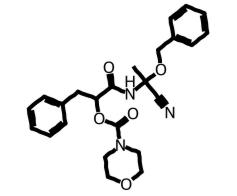 CC(C#N)(NC(=O)C(Cc1ccccc1)OC(=O)N1CCOCC1)OCc1ccccc1